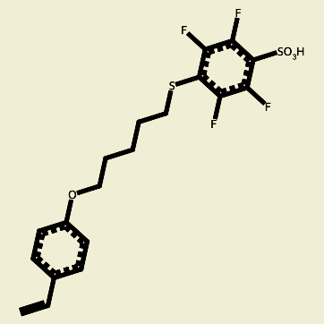 C=Cc1ccc(OCCCCCSc2c(F)c(F)c(S(=O)(=O)O)c(F)c2F)cc1